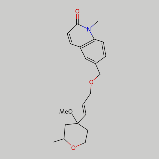 COC1(C=CCOCc2ccc3c(ccc(=O)n3C)c2)CCOC(C)C1